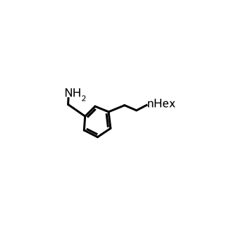 CCCCCCCCc1cccc(CN)c1